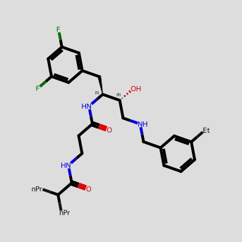 CCCC(CCC)C(=O)NCCC(=O)N[C@@H](Cc1cc(F)cc(F)c1)[C@H](O)CNCc1cccc(CC)c1